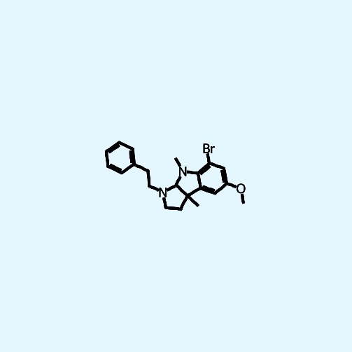 COc1cc(Br)c2c(c1)C1(C)CCN(CCc3ccccc3)C1N2C